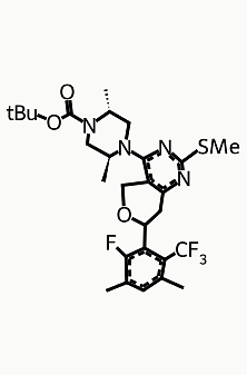 CSc1nc2c(c(N3C[C@@H](C)N(C(=O)OC(C)(C)C)C[C@@H]3C)n1)COC(c1c(F)c(C)cc(C)c1C(F)(F)F)C2